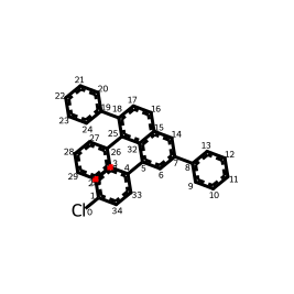 Clc1ccc(-c2cc(-c3ccccc3)cc3ccc(-c4ccccc4)c(-c4ccccc4)c23)cc1